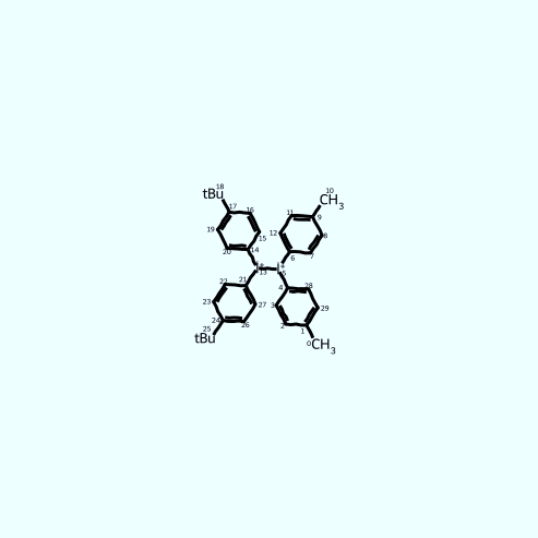 Cc1ccc([I+](c2ccc(C)cc2)[I+](c2ccc(C(C)(C)C)cc2)c2ccc(C(C)(C)C)cc2)cc1